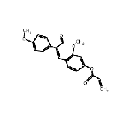 C=CC(=O)Oc1ccc(/C=C(\C=O)c2ccc(OC)cc2)c(OC)c1